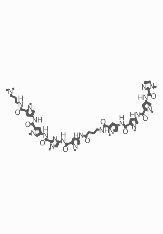 CN(C)CCCNC(=O)c1cc(NC(=O)c2cc(NC(=O)c3nc(NC(=O)c4cc(NC(=O)CCCNC(=O)c5cc(NC(=O)c6cc(NC(=O)c7cc(NC(=O)c8nccn8C)cn7C)cn6C)cn5C)cn4C)cn3C)cn2C)cn1C